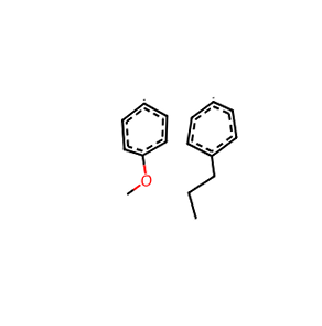 CCCc1cc[c]cc1.COc1cc[c]cc1